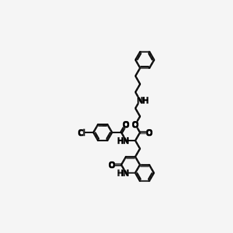 O=C(NC(Cc1cc(=O)[nH]c2ccccc12)C(=O)OCCNCCCc1ccccc1)c1ccc(Cl)cc1